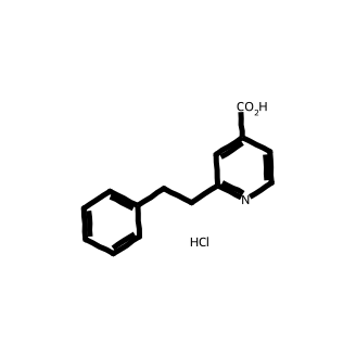 Cl.O=C(O)c1ccnc(CCc2ccccc2)c1